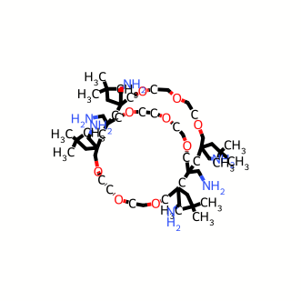 CC(C)(C)CC1(CN)COCCOCCOCC(CN)(CC(C)(C)C)CC2(CN)COCCOCCOCC(CN)(C1)CC(CN)(CC(C)(C)C)COCCOCCOCC(CN)(CC(C)(C)C)C2